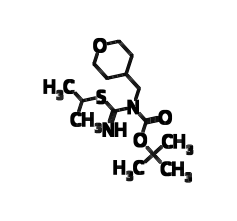 CC(C)SC(=N)N(CC1CCOCC1)C(=O)OC(C)(C)C